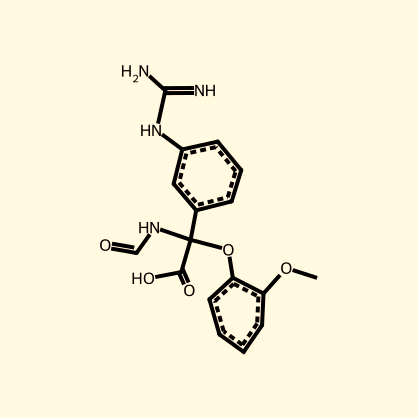 COc1ccccc1OC(NC=O)(C(=O)O)c1cccc(NC(=N)N)c1